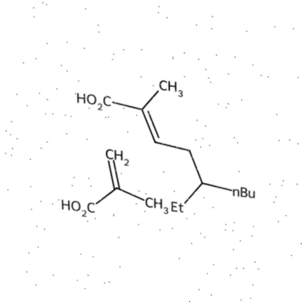 C=C(C)C(=O)O.CCCCC(CC)C/C=C(\C)C(=O)O